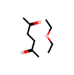 CC(=O)CCC(C)=O.CCOCC